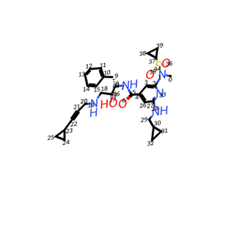 CN(c1cc(C(=O)N[C@@H](Cc2ccccc2)[C@H](O)CNCC#CC2CC2)cc(NCC2CC2)n1)S(=O)(=O)C1CC1